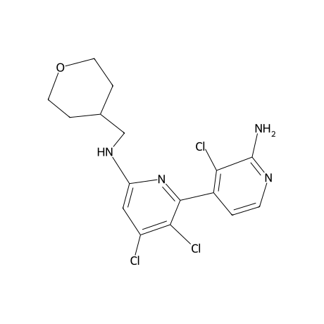 Nc1nccc(-c2nc(NCC3CCOCC3)cc(Cl)c2Cl)c1Cl